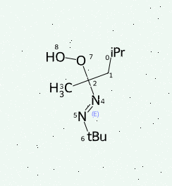 CC(C)CC(C)(/N=N/C(C)(C)C)OO